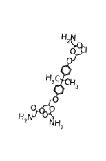 CC(C)(c1ccc(OCC(CCl)OC(=O)CN)cc1)c1ccc(OCC(COC(=O)CN)OC(=O)CN)cc1